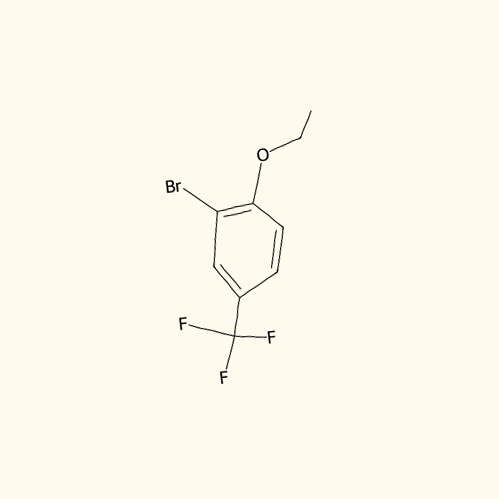 CCOc1ccc(C(F)(F)F)cc1Br